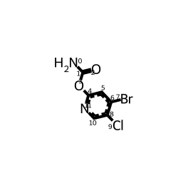 NC(=O)Oc1cc(Br)c(Cl)cn1